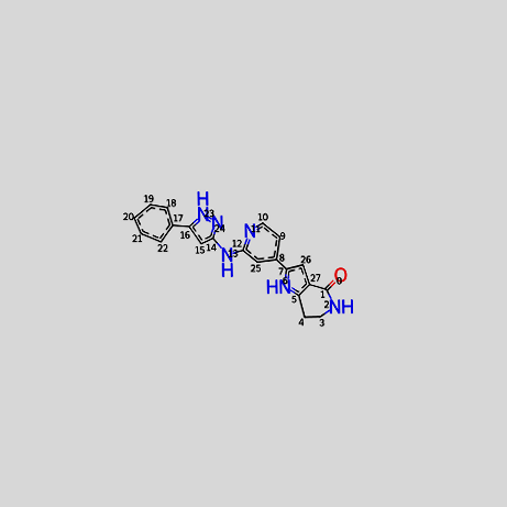 O=C1NCCc2[nH]c(-c3ccnc(Nc4cc(-c5ccccc5)[nH]n4)c3)cc21